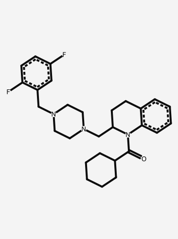 O=C(C1CCCCC1)N1c2ccccc2CCC1CN1CCN(Cc2cc(F)ccc2F)CC1